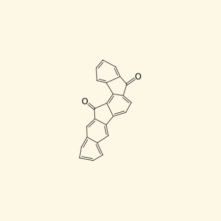 O=c1c2ccccc2c2c1ccc1c3cc4ccccc4cc3c(=O)c12